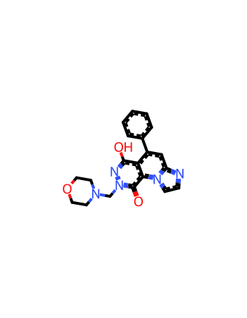 O=c1c2c(c(-c3ccccc3)cc3nccn32)c(O)nn1CN1CCOCC1